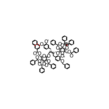 COc1cc(C[C@@H](CO[C@@H]2O[C@H](COC(=O)c3ccccc3)[C@@H](OC(=O)c3ccccc3)[C@H](OC(=O)c3ccccc3)[C@H]2OC(=O)c2ccccc2)[C@H](CO[C@@H]2O[C@H](COC(=O)c3ccccc3)[C@@H](OC(=O)c3ccccc3)[C@H](OC(=O)c3ccccc3)[C@H]2OC(=O)c2ccccc2)Cc2ccc(OCc3ccccc3)c(OC)c2)ccc1OCc1ccccc1